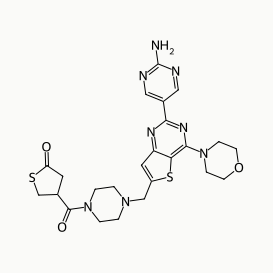 Nc1ncc(-c2nc(N3CCOCC3)c3sc(CN4CCN(C(=O)C5CSC(=O)C5)CC4)cc3n2)cn1